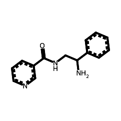 NC(CNC(=O)c1cccnc1)c1ccccc1